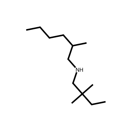 CCCCC(C)CNCC(C)(C)CC